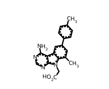 Cc1ccc(-c2cc(C)c3c(c2)c2c(N)ncnc2n3CC(=O)O)cc1